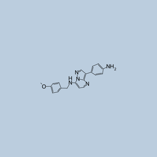 COc1ccc(CNc2ccnc3c(-c4ccc(N)cc4)cnn23)cc1